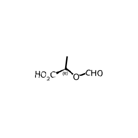 C[C@@H](OC=O)C(=O)O